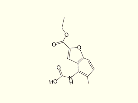 CCOC(=O)c1cc2c(NC(=O)O)c(C)ccc2o1